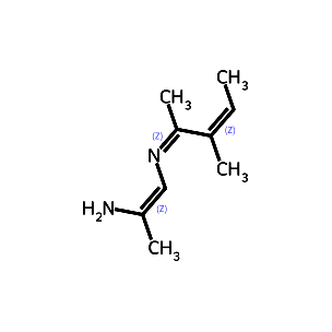 C\C=C(C)/C(C)=N\C=C(\C)N